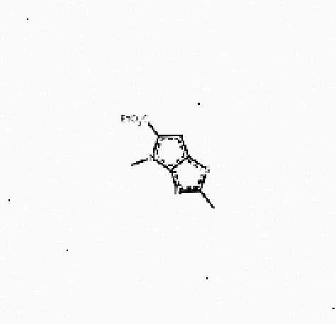 CCOC(=O)c1cc2sc(C)nc2n1C